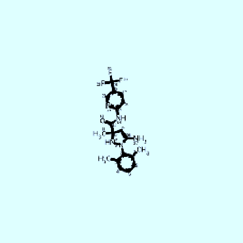 Cc1cccc(C)c1N1NC(C)(C(=O)Nc2ccc(C(F)(F)F)cn2)C=C1N